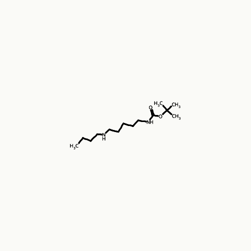 CCCCNCCCCCNC(=O)OC(C)(C)C